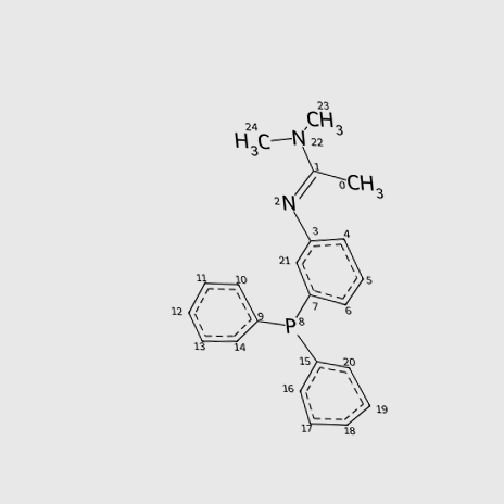 C/C(=N\c1cccc(P(c2ccccc2)c2ccccc2)c1)N(C)C